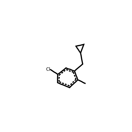 Cc1ccc(Cl)cc1CC1CC1